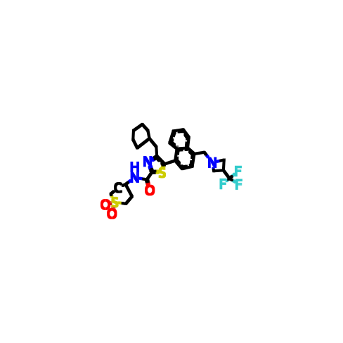 O=C(NC1CCS(=O)(=O)CC1)c1nc(CC2CCCCC2)c(-c2ccc(CN3CC(C(F)(F)F)C3)c3ccccc23)s1